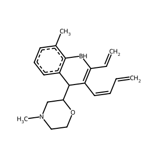 C=C/C=C\C1=C(C=C)Bc2c(C)cccc2C1C1CN(C)CCO1